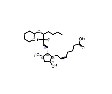 CCCCC(OC1CCCCO1)C(F)(F)/C=C/[C@@H]1[C@@H](C/C=C\CCCC(=O)O)[C@@H](O)C[C@H]1O